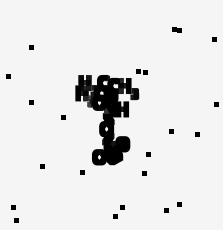 CC(C)(C)OC(=O)NCCOCCN1C(=O)C=CC1=O